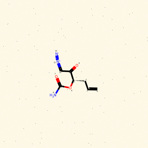 C=CC[C@H](OC(N)=O)C(=O)C=[N+]=[N-]